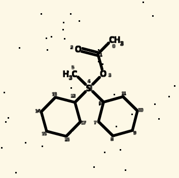 CC(=O)O[Si](C)(C1CCCCC1)C1CCCCC1